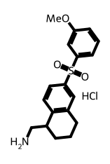 COc1cccc(S(=O)(=O)c2ccc3c(c2)CCCC3CN)c1.Cl